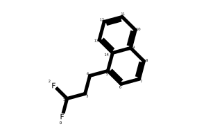 F[C](F)CCc1cccc2ccccc12